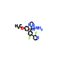 COc1ccc(C2(c3ccc(F)c(-c4cccnc4F)c3)N=C(N)N3CCCN=C32)cc1